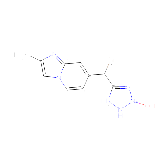 O=C(O)c1cn2ccc(C(Br)C3=NN(O)NN3)cc2n1